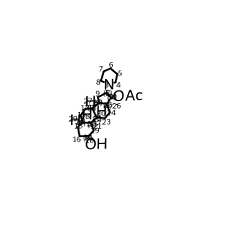 CC(=O)O[C@H]1[C@@H](N2CCCCC2)C[C@H]2[C@@H]3CC[C@H]4CC[C@@H](O)C[C@]4(C)[C@H]3CC[C@@]21C